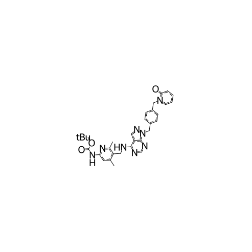 Cc1cc(NC(=O)OC(C)(C)C)nc(C)c1CNc1ncnc2c1cnn2Cc1ccc(Cn2ccccc2=O)cc1